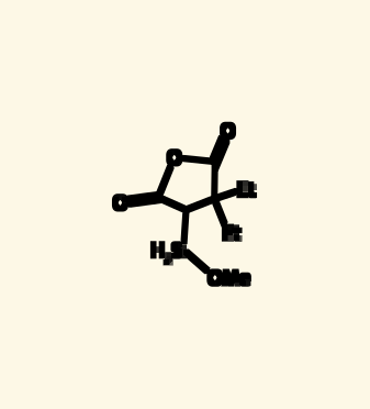 CCC1(CC)C(=O)OC(=O)C1[SiH2]OC